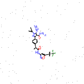 CC(C(=O)Nc1cc(C(C)(C)C(F)(F)F)on1)c1ccc(-c2nn(C(C)C)c(N)c2C(N)=O)cc1